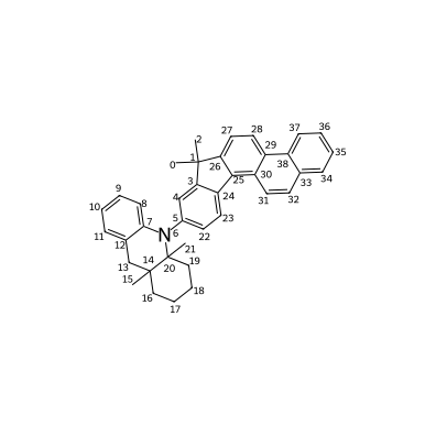 CC1(C)c2cc(N3c4ccccc4CC4(C)CCCCC34C)ccc2-c2c1ccc1c2ccc2ccccc21